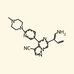 C=C/C(=C\N)c1cn2ncc(C#N)c2c(-c2ccc(N3CCN(C)CC3)nc2)n1